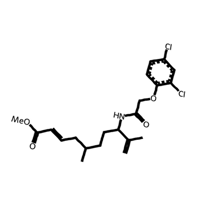 C=C(C)C(CCC(C)CC=CC(=O)OC)NC(=O)COc1ccc(Cl)cc1Cl